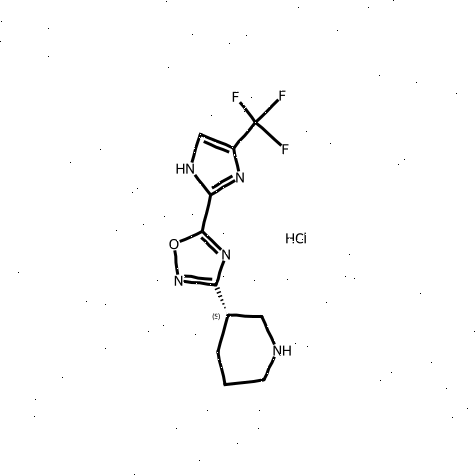 Cl.FC(F)(F)c1c[nH]c(-c2nc([C@H]3CCCNC3)no2)n1